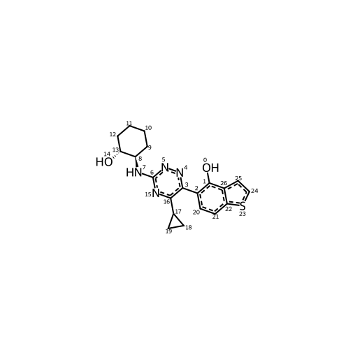 Oc1c(-c2nnc(N[C@@H]3CCCC[C@H]3O)nc2C2CC2)ccc2sccc12